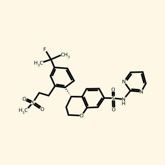 CC(C)(F)c1ccc([C@H]2CCOc3cc(S(=O)(=O)Nc4ncccn4)ccc32)c(CCS(C)(=O)=O)c1